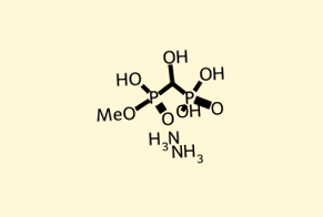 COP(=O)(O)C(O)P(=O)(O)O.N.N